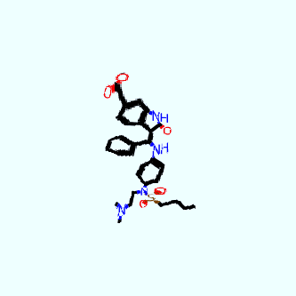 CCCCS(=O)(=O)N(CCN(C)C)c1ccc(N/C(=C2\C(=O)Nc3cc(C(=O)OC)ccc32)c2ccccc2)cc1